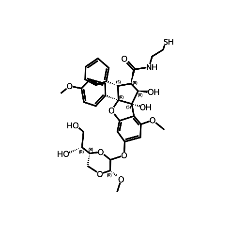 COc1ccc([C@@]23Oc4cc(OC5O[C@@H]([C@H](O)CO)CO[C@H]5OC)cc(OC)c4[C@]2(O)[C@H](O)[C@H](C(=O)NCCS)[C@H]3c2ccccc2)cc1